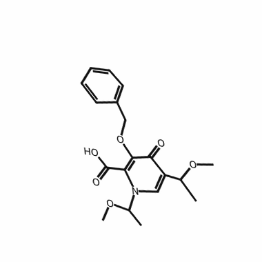 COC(C)c1cn(C(C)OC)c(C(=O)O)c(OCc2ccccc2)c1=O